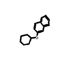 c1ccc2cc(SC3CCCCC3)ccc2c1